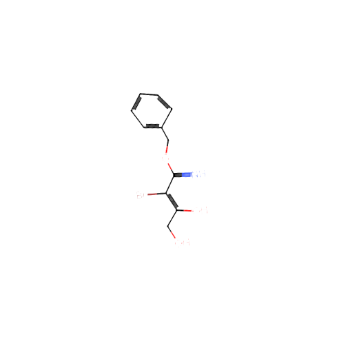 N=C(OCc1ccccc1)/C(Br)=C(\O)CO